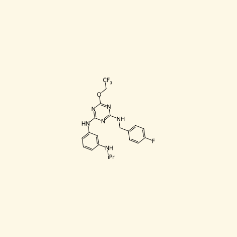 CC(C)Nc1cccc(Nc2nc(NCc3ccc(F)cc3)nc(OCC(F)(F)F)n2)c1